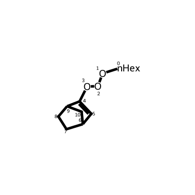 CCCCCCOOOC1=CC2CCC1C2